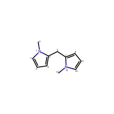 Cn1cccc1Cc1cccn1C